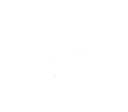 O=C1NC(=Nc2cccc(N=C3NC(=O)c4c(Cl)c(Cl)c(Cl)c(Cl)c43)c2)c2c(Cl)c(Cl)c(Cl)c(Cl)c21